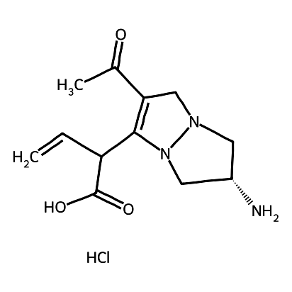 C=CC(C(=O)O)C1=C(C(C)=O)CN2C[C@H](N)CN12.Cl